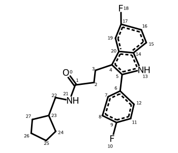 O=C(CCc1c(-c2ccc(F)cc2)[nH]c2ccc(F)cc12)NCC1CCCC1